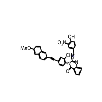 COc1ccc2cc(C#Cc3ccc(-n4c(/C=C/c5ccc(O)c([N+](=O)[O-])c5)nc5ccccc5c4=O)c(C)c3)ccc2c1